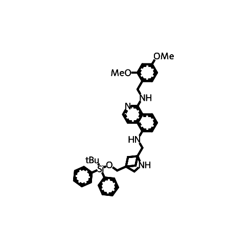 COc1ccc(CNc2nccc3c(NCC45CC(CO[Si](c6ccccc6)(c6ccccc6)C(C)(C)C)(CN4)C5)cccc23)c(OC)c1